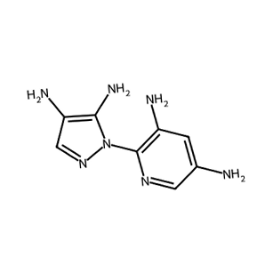 Nc1cnc(-n2ncc(N)c2N)c(N)c1